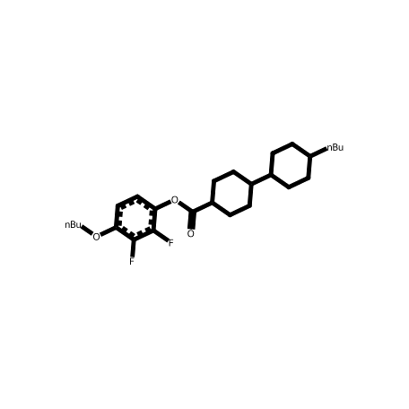 CCCCOc1ccc(OC(=O)C2CCC(C3CCC(CCCC)CC3)CC2)c(F)c1F